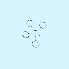 O=C1C(c2ccccc2)=C(c2ccccc2)C(c2cncnc2)=C1c1ccccc1